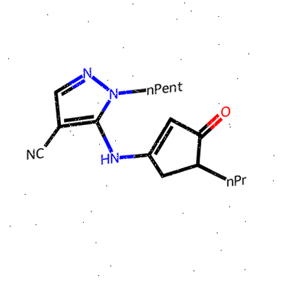 CCCCCn1ncc(C#N)c1NC1=CC(=O)C(CCC)C1